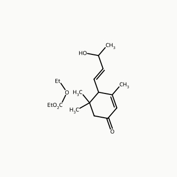 CC1=CC(=O)CC(C)(C)C1/C=C/C(C)O.CCOC(=O)OCC